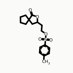 Cc1ccc(S(=O)(=O)OCCC2CC3(CCCC3)C(=O)O2)cc1